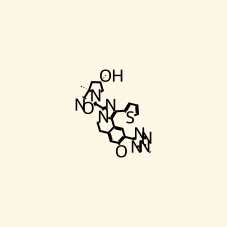 COc1cc2c(cc1-c1nnn(C)n1)-c1c(-c3cccs3)nc(C(=O)N3C[C@@H](O)C[C@]3(C)C#N)n1CC2